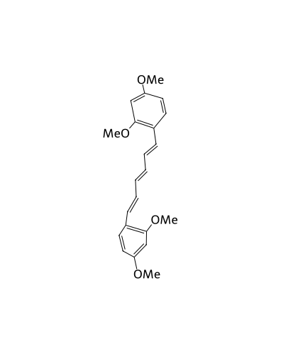 COc1ccc(C=CC=CC=Cc2ccc(OC)cc2OC)c(OC)c1